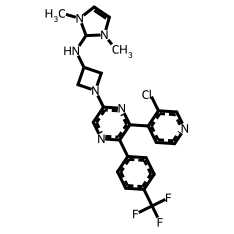 CN1C=CN(C)C1NC1CN(c2cnc(-c3ccc(C(F)(F)F)cc3)c(-c3ccncc3Cl)n2)C1